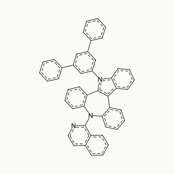 c1ccc(-c2cc(-c3ccccc3)cc(-n3c4c(c5ccccc53)-c3ccccc3N(c3nccc5ccccc35)c3ccccc3-4)c2)cc1